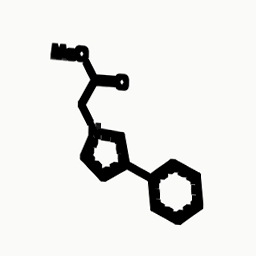 COC(=O)Cn1ccc(-c2ccccc2)c1